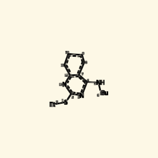 CCSc1nc(NC(C)CC)c2ccccc2n1